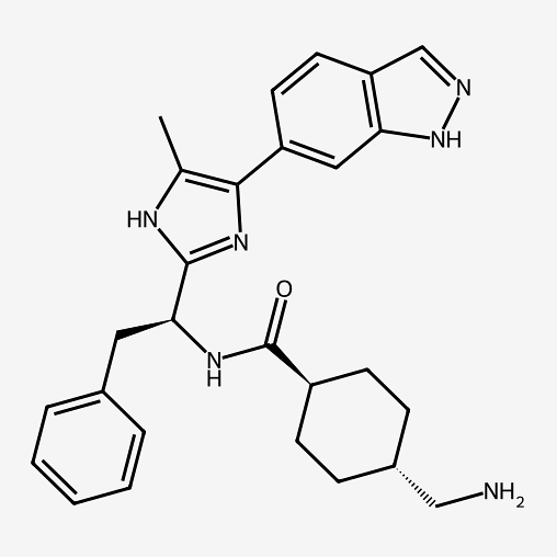 Cc1[nH]c([C@H](Cc2ccccc2)NC(=O)[C@H]2CC[C@H](CN)CC2)nc1-c1ccc2cn[nH]c2c1